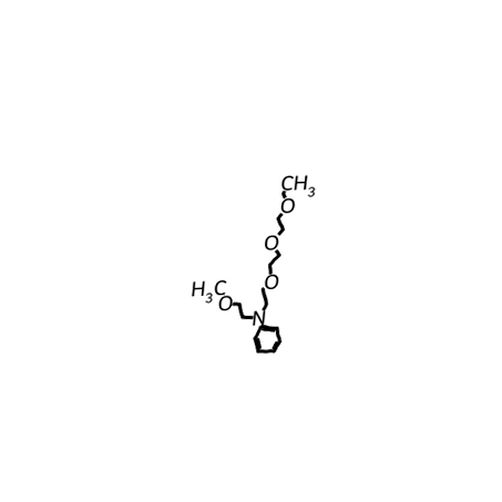 CCOCCOCCOCCN(CCOC)c1ccccc1